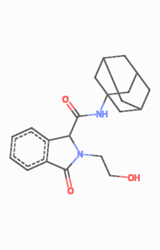 O=C(NC12CC3CC(CC(C3)C1)C2)C1c2ccccc2C(=O)N1CCO